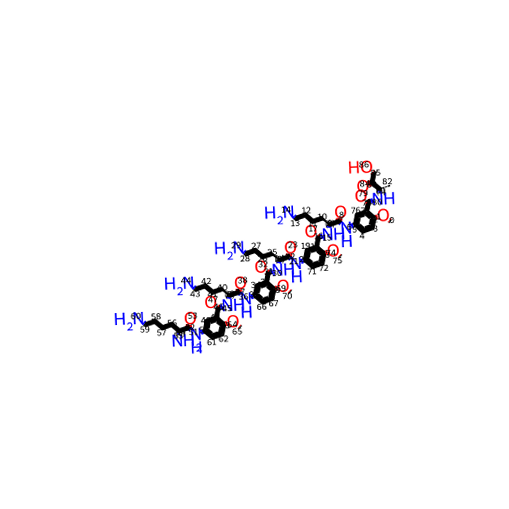 COc1ccc(NC(=O)[C@H](CCCCN)NC(=O)c2cc(NC(=O)[C@H](CCCCN)NC(=O)c3cc(NC(=O)[C@H](CCCCN)NC(=O)c4cc(NC(=O)[C@@H](N)CCCCN)ccc4OC)ccc3OC)ccc2OC)cc1C(=O)N[C@@H](C)C(=O)CO